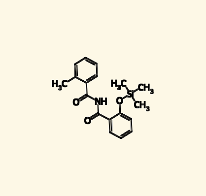 Cc1ccccc1C(=O)NC(=O)c1ccccc1O[Si](C)(C)C